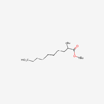 CCCCOC(=O)C(CCCC)CCCCCCCC(=O)O